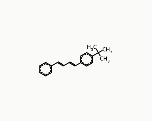 CC(C)(C)c1ccc(/C=C/C=C/c2ccccc2)cc1